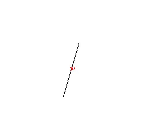 CCCCCCCCCCCCCCCCCCCCCCCCCCCCCOC(=O)CCCCCCCCCCCCCCCCCCCCCCCCCC